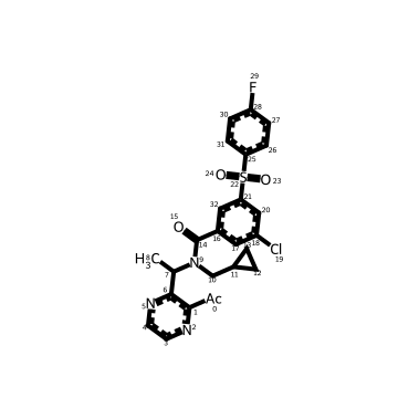 CC(=O)c1nccnc1C(C)N(CC1CC1)C(=O)c1cc(Cl)cc(S(=O)(=O)c2ccc(F)cc2)c1